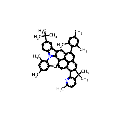 Cc1cc(C)c(-c2cc3cc4c(c5ccc6c(c2cc2c7cc(C(C)(C)C)ccc7n(-c7c(C)cc(C)cc7C)c26)c35)-c2nc(C)ccc2C4(C)C)c(C)c1